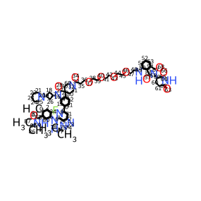 Cc1cc(F)c(Nc2nc(-c3ccc4c(c3)N(C3CC(N5CCCCC5)C3)C(=O)C43CCN(C(=O)CCOCCOCCOCCOCCNc4cccc5c4C(=O)N(C4CCC(=O)NC4=O)C5=O)CC3)cc3ncn(C(C)C)c23)cc1C(=O)NC(C)C